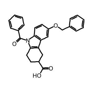 O=C(O)C1CCc2c(c3cc(OCc4ccccc4)ccc3n2C(=O)c2ccccc2)C1